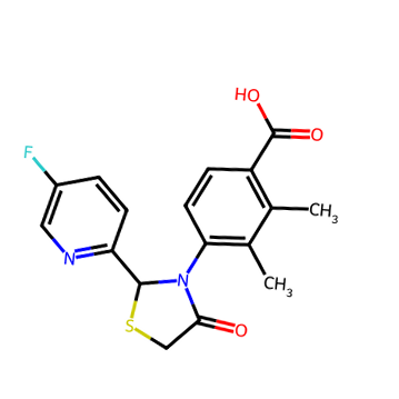 Cc1c(C(=O)O)ccc(N2C(=O)CSC2c2ccc(F)cn2)c1C